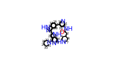 O=C(CC1CCNCC1)Nc1cncc(-c2ccc3[nH]nc(-c4cc5c(N6CCCCC6)nccc5[nH]4)c3c2)c1